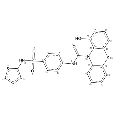 O=C(Nc1ccc(S(=O)(=O)Nc2nccs2)cc1)N1c2ccccc2Sc2cccc(O)c21